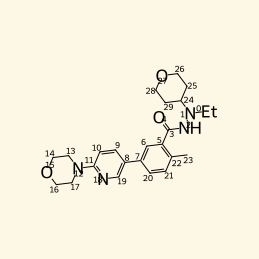 CCN(NC(=O)c1cc(-c2ccc(N3CCOCC3)nc2)ccc1C)C1CCOCC1